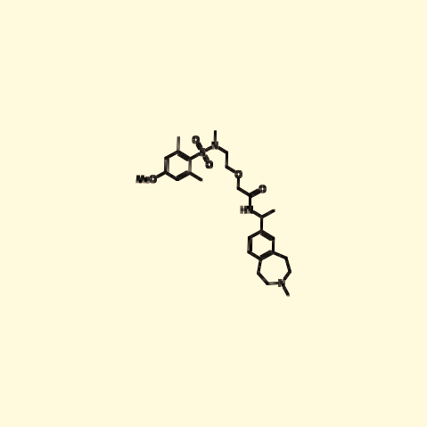 COc1cc(C)c(S(=O)(=O)N(C)CCOCC(=O)NC(C)c2ccc3c(c2)CCN(C)CC3)c(C)c1